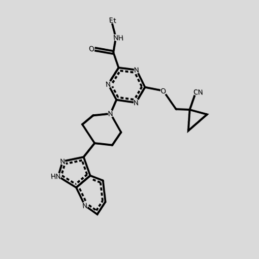 CCNC(=O)c1nc(OCC2(C#N)CC2)nc(N2CCC(c3n[nH]c4ncccc34)CC2)n1